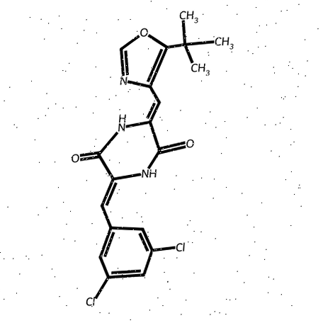 CC(C)(C)c1ocnc1/C=c1\[nH]c(=O)/c(=C/c2cc(Cl)cc(Cl)c2)[nH]c1=O